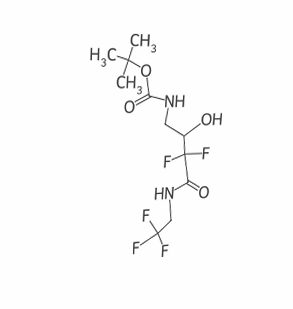 CC(C)(C)OC(=O)NCC(O)C(F)(F)C(=O)NCC(F)(F)F